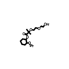 CC(C)OC1CCCCC1OC(=O)C(C)(C)OCCOCCO